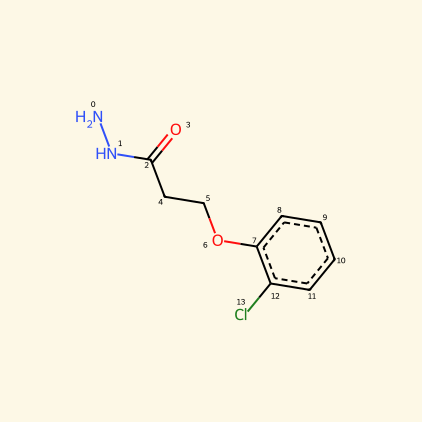 NNC(=O)CCOc1ccccc1Cl